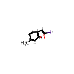 Cc1ccc2cc(I)oc2c1